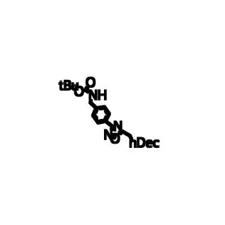 CCCCCCCCCCCc1nc(-c2ccc(CNC(=O)OC(C)(C)C)cc2)no1